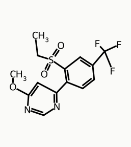 CCS(=O)(=O)c1cc(C(F)(F)F)ccc1-c1cc(OC)ncn1